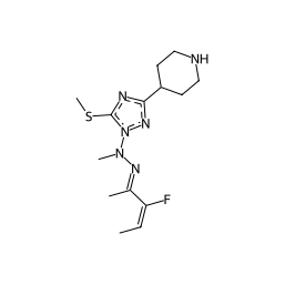 C/C=C(F)\C(C)=N\N(C)n1nc(C2CCNCC2)nc1SC